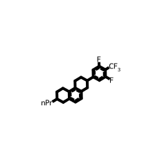 CCCC1CCc2c(ccc3c2CCC(c2cc(F)c(C(F)(F)F)c(F)c2)C3)C1